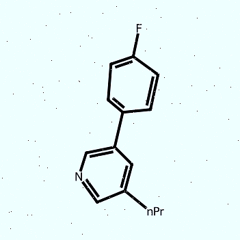 CCCc1cncc(-c2ccc(F)cc2)c1